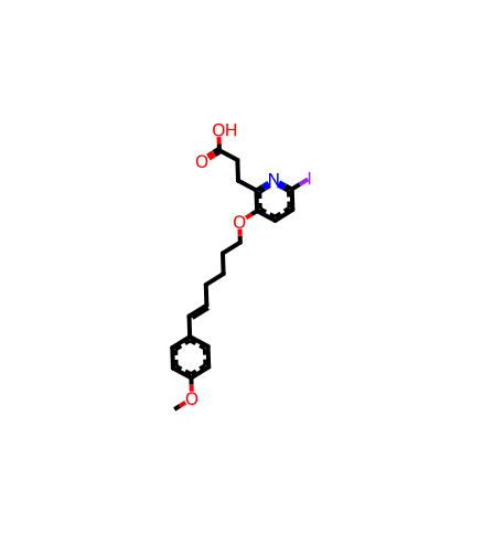 COc1ccc(C=CCCCCOc2ccc(I)nc2CCC(=O)O)cc1